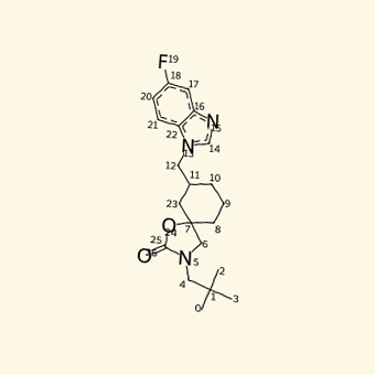 CC(C)(C)CN1CC2(CCCC(Cn3cnc4cc(F)ccc43)C2)OC1=O